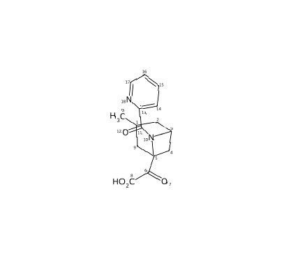 CC1CC2CC(C(=O)C(=O)O)(C1)N2C(=O)c1ccccn1